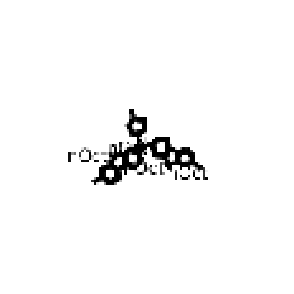 CCCCCCCCC1(CCCCCCCC)c2cc(C)ccc2-c2ccc(N(c3ccc(C)cc3)c3ccc4c(c3)C(CCCCCCCC)(CCCCCCCC)c3cc(C)ccc3-4)cc21